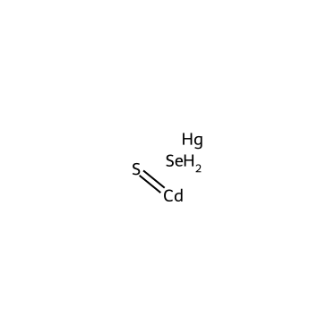 [Hg].[S]=[Cd].[SeH2]